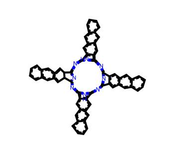 C1=c2cc3ccccc3cc2=CC2c3nc(nc4[nH]c(nc5nc(nc6[nH]c(n3)c3cc7cc8ccccc8cc7cc63)-c3cc6cc7ccccc7cc6cc3-5)c3cc5cc6ccccc6cc5cc43)C12